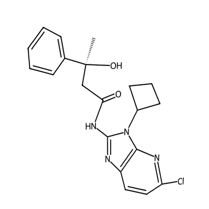 C[C@](O)(CC(=O)Nc1nc2ccc(Cl)nc2n1C1CCC1)c1ccccc1